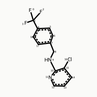 FC(F)(F)c1ccc(CNc2ncccc2Cl)cc1